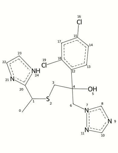 CC(SCC(O)(Cn1cncn1)c1ccc(Cl)cc1Cl)c1ncc[nH]1